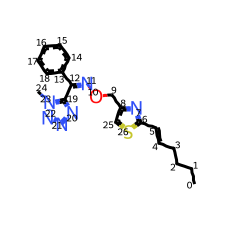 CCCCC=Cc1nc(CON=C(c2ccccc2)c2nnnn2C)cs1